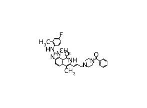 Cc1cc(F)ccc1Nc1nc2ccc3c(C)c(C=CCN4CCN(C(=O)c5ccccc5)CC4)[nH]c(=O)c3c2n1C